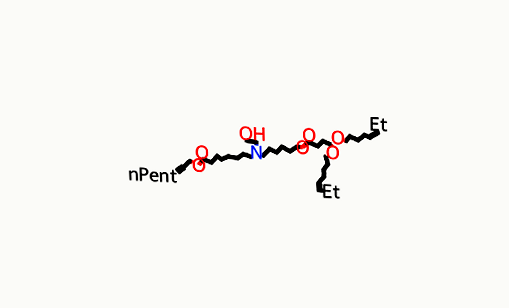 CC/C=C\CCCCOC(CCC(=O)OCCCCCCN(CCO)CCCCCCCC(=O)OCC#CCCCCC)OCCCC/C=C\CC